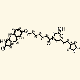 O=C(O)CN(CCCCC1CCCC1)C(=O)CCCCCCOc1ccc2c(c1)CN1CC(=O)NC1=N2